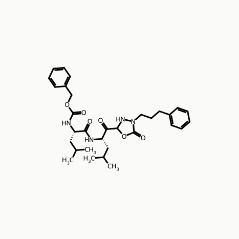 CC(C)C[C@H](NC(=O)OCc1ccccc1)C(=O)N[C@@H](CC(C)C)C(=O)C1NN(CCCc2ccccc2)C(=O)O1